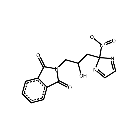 O=C1c2ccccc2C(=O)N1CC(O)CC1([N+](=O)[O-])N=CC=N1